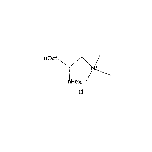 CCCCCCCCC(CCCCCC)C[N+](C)(C)C.[Cl-]